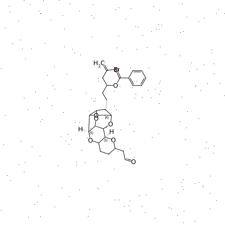 C=C(Br)CC(CC[C@H]1OC2C3CC1OC1C(O3)[C@H]2OC2CCC(CC=O)O[C@@H]21)OC(=O)c1ccccc1